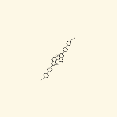 CCCC1CCC(C2CC=C(c3ccc4c(-c5c(O)ccc6cc(C7=CCC(C8CCC(CCC)CC8)CC7)ccc56)c(O)ccc4c3)CC2)CC1